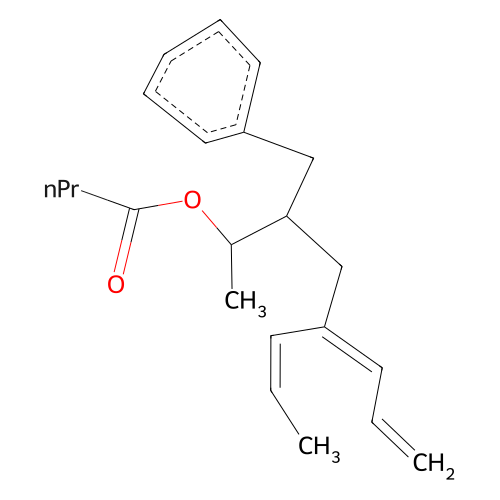 C=C/C=C(\C=C/C)CC(Cc1ccccc1)C(C)OC(=O)CCC